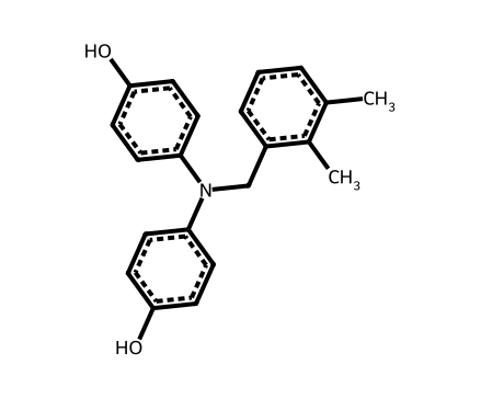 Cc1cccc(CN(c2ccc(O)cc2)c2ccc(O)cc2)c1C